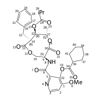 COc1ccnc(C(=O)N[C@H]2COC(=O)[C@H](Cc3ccccc3)[C@@H](OC(=O)C(C)C)[C@H](C)OC2=O)c1OC(=O)C1CCCCC1